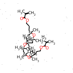 C=C(C)C(=O)OCCC[Si](C)(C)O[Si](C)(C)C[Si](C)(C)O[Si](C)(C)C[Si](C)(C)O[Si](C)(C)CCCOC(=O)C(=C)C